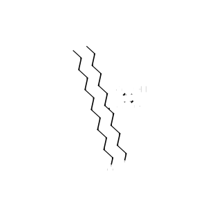 CCCCCCCCCCCCO.CCCCCCCCCCCCO.O=S(=O)(O)O